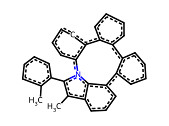 Cc1ccccc1-c1c(C)c2cccc3c4ccccc4c4ccccc4c4ccccc4n1c23